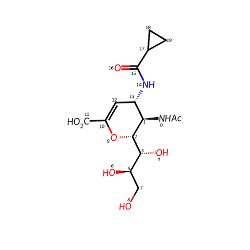 CC(=O)N[C@H]1[C@H]([C@H](O)[C@H](O)CO)OC(C(=O)O)=C[C@@H]1NC(=O)C1CC1